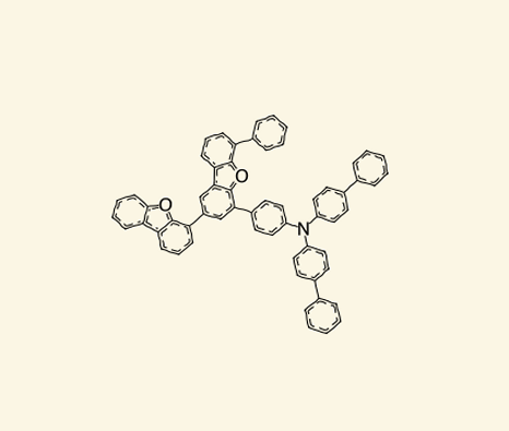 c1ccc(-c2ccc(N(c3ccc(-c4ccccc4)cc3)c3ccc(-c4cc(-c5cccc6c5oc5ccccc56)cc5c4oc4c(-c6ccccc6)cccc45)cc3)cc2)cc1